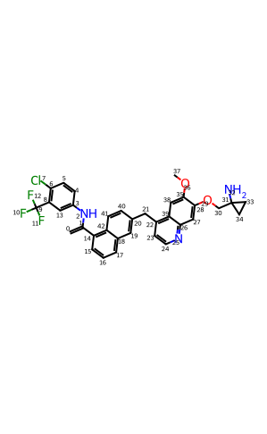 C=C(Nc1ccc(Cl)c(C(F)(F)F)c1)c1cccc2cc(Cc3ccnc4cc(OCC5(N)CC5)c(OC)cc34)ccc12